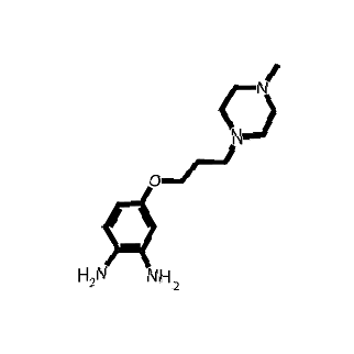 CN1CCN(CCCOc2ccc(N)c(N)c2)CC1